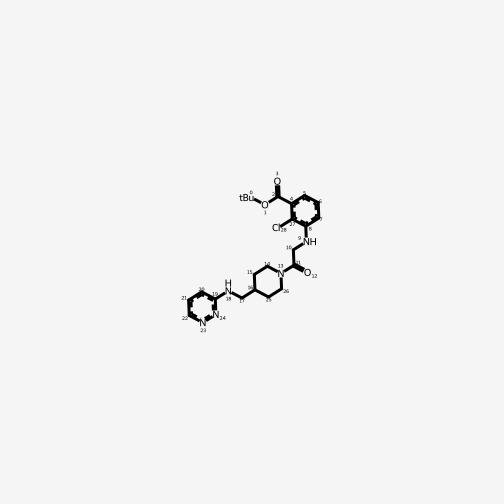 CC(C)(C)OC(=O)c1cccc(NCC(=O)N2CCC(CNc3cccnn3)CC2)c1Cl